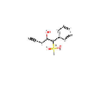 C#CCC(O)C(c1ccccc1)S(C)(=O)=O